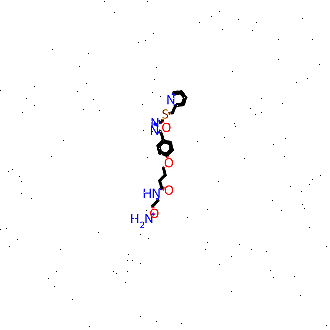 NOCCNC(=O)CCCOc1ccc(-c2nnc(SCc3ccccn3)o2)cc1